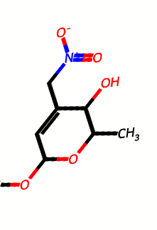 COC1C=C(C[N+](=O)[O-])C(O)C(C)O1